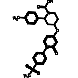 Cc1ccc(C2CC(Oc3ccn(-c4ccc(S(C)(=O)=O)cc4)c(=O)c3)CCN2C(=O)O)cc1